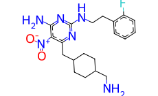 NCC1CCC(Cc2nc(NCCc3ccccc3F)nc(N)c2[N+](=O)[O-])CC1